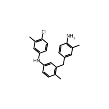 Cc1cc(Cc2cc(Nc3ccc(Cl)c(C)c3)ccc2C)ccc1N